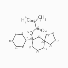 C=C(C)C(=O)OC1(C2CCCCC2)CCCC2(CCCC2)C1